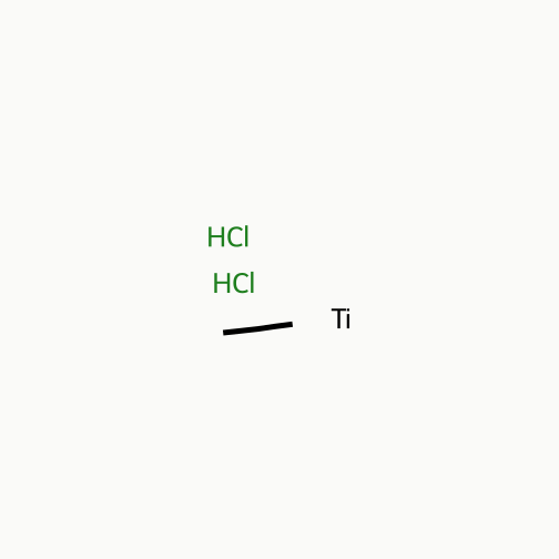 CC.Cl.Cl.[Ti]